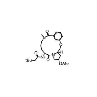 CO[C@H]1C[C@H]2COc3cccc(c3)C(=O)N(C)CCC[C@H](NC(=O)CC(C)(C)C)C(=O)N2C1